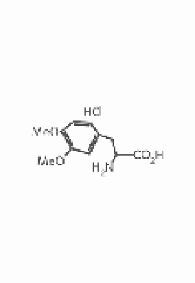 COc1ccc(CC(N)C(=O)O)cc1OC.Cl